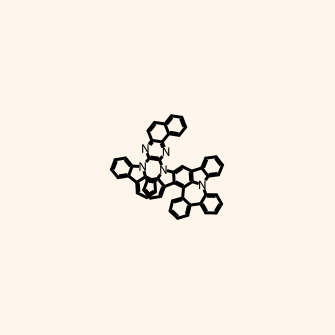 c1ccc2c(c1)-c1ccccc1-n1c3ccccc3c3cc4c(c-2c31)c1ccccc1n4-c1nc2c(ccc3ccccc32)nc1-n1c2ccccc2c2ccccc21